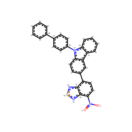 O=[N+]([O-])c1ccc(-c2ccc3c(c2)c2ccccc2n3-c2ccc(-c3ccccc3)cc2)c2nsnc12